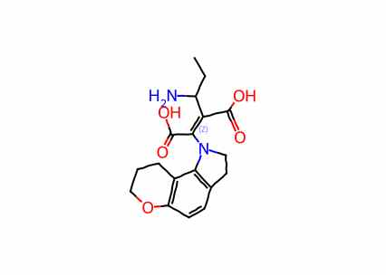 CCC(N)/C(C(=O)O)=C(\C(=O)O)N1CCc2ccc3c(c21)CCCO3